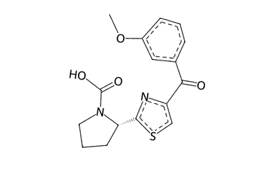 COc1cccc(C(=O)c2csc([C@@H]3CCCN3C(=O)O)n2)c1